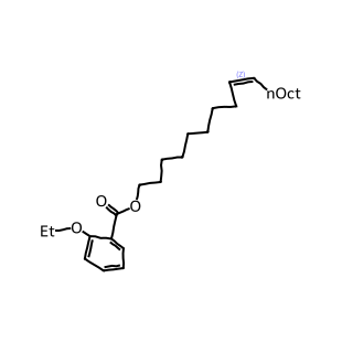 CCCCCCCC/C=C\CCCCCCCCOC(=O)c1ccccc1OCC